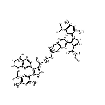 CCNC(=O)c1noc(-c2cc(C(C)C)c(O)cc2O)c1-c1ccc2c(c1)C1NC2CC1CCNC(=O)c1noc(-c2cc(C(C)C)c(O)cc2O)c1-c1ccc2c(c1)CCCN2C